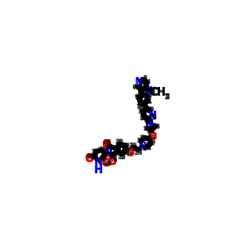 Cn1c2ccncc2c2ccc(-c3ccc(N4CC(OC5CCN(CCOc6ccc7c(c6)C(=O)N(C6CCC(=O)NC6=O)C7=O)CC5)C4)nc3)cc21